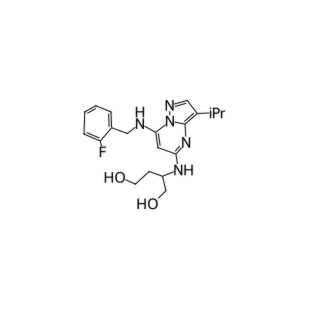 CC(C)c1cnn2c(NCc3ccccc3F)cc(NC(CO)CCO)nc12